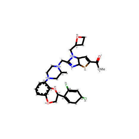 COC(=O)C1=CC2C(N=C(CN3CCN(c4cccc5c4OC(C4=CCC(Cl)C=C4F)CO5)CC3C)N2CC2CCO2)S1